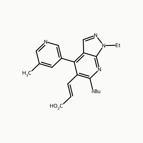 CCCCc1nc2c(cnn2CC)c(-c2cncc(C)c2)c1C=CC(=O)O